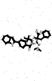 C[SiH](C)OC[C@@](Cc1ccccc1)(C[C@H](NC(=O)c1ccc(-c2cc3ccccc3o2)cc1)C(C)(C)C)C(=O)O